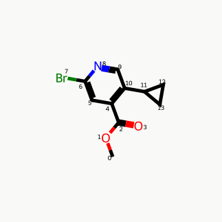 COC(=O)c1cc(Br)ncc1C1CC1